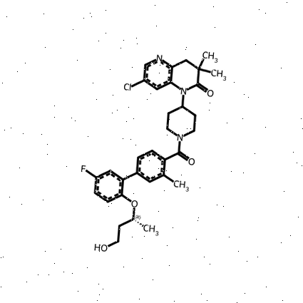 Cc1cc(-c2cc(F)ccc2O[C@H](C)CCO)ccc1C(=O)N1CCC(N2C(=O)C(C)(C)Cc3ncc(Cl)cc32)CC1